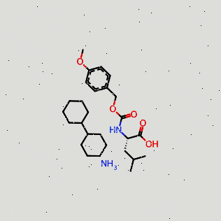 C1CCC(C2CCCCC2)CC1.COc1ccc(COC(=O)N[C@@H](CC(C)C)C(=O)O)cc1.N